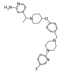 CC(c1ccnc(N)c1)N1CCC(Oc2ccc(CN3CCN(c4ccc(F)cn4)CC3)cc2)CC1